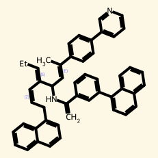 C=C(NC(/C=C(\C)c1ccc(-c2cccnc2)cc1)C(/C=C\Cc1cccc2ccccc12)=C/CC)c1cccc(-c2cccc3ccccc23)c1